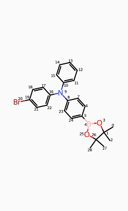 CC1(C)OB(c2ccc(N(c3ccccc3)c3ccc(Br)cc3)cc2)OC1(C)C